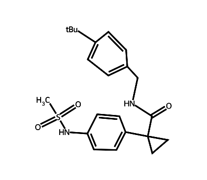 CC(C)(C)c1ccc(CNC(=O)C2(c3ccc(NS(C)(=O)=O)cc3)CC2)cc1